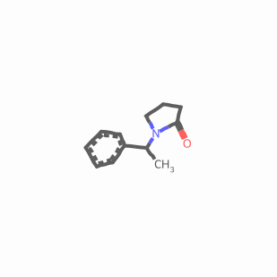 CC(c1ccccc1)N1CCCC1=O